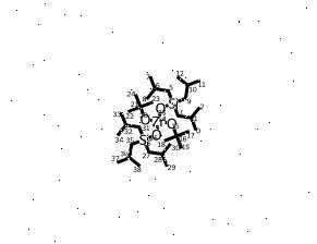 CC(C)C[Si](CC(C)C)(CC(C)C)[O][Zr]([O]C(C)(C)C)([O]C(C)(C)C)[O][Si](CC(C)C)(CC(C)C)CC(C)C